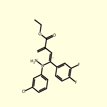 C=C(/C=C(/c1ccc(F)c(F)c1)N(N)c1cccc(Cl)c1)C(=O)OCC